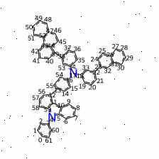 c1ccc(-n2c3ccccc3c3c(-c4ccc(N(c5cccc(-c6ccc7ccccc7c6)c5)c5cccc(-c6cccc7c6ccc6ccccc67)c5)cc4)cccc32)cc1